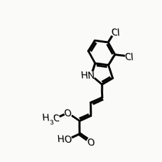 COC(=CC=Cc1cc2c(Cl)c(Cl)ccc2[nH]1)C(=O)O